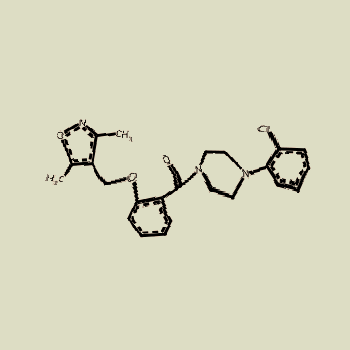 Cc1noc(C)c1COc1ccccc1C(=O)N1CCN(c2ccccc2Cl)CC1